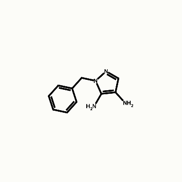 Nc1cnn(Cc2ccccc2)c1N